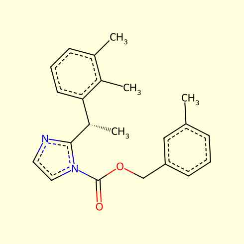 Cc1cccc(COC(=O)n2ccnc2[C@@H](C)c2cccc(C)c2C)c1